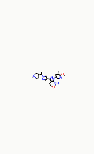 COc1ncc(-n2nc(-c3cnn(C(C)C4CCN(C)CC4)c3)c3c2NCOCC3)cc1C